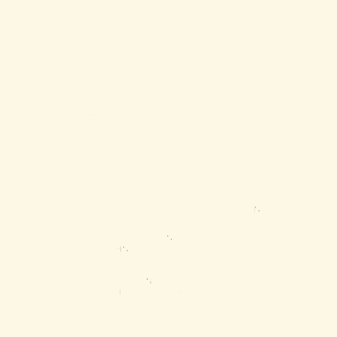 Cn1c(NCCc2ccc(OCc3ccccc3)cc2)nc(-c2ccncc2)cc1=O